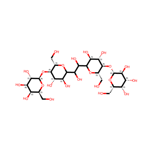 OC[C@@H]1O[C@H](O[C@@H]2[C@@H](O)[C@H](O)C(C(O)C(O)C3O[C@@H](CO)[C@H](O[C@H]4O[C@@H](CO)[C@@H](O)[C@@H](O)[C@@H]4O)[C@@H](O)[C@@H]3O)O[C@H]2CO)[C@@H](O)[C@H](O)[C@@H]1O